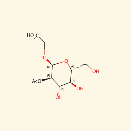 CC(=O)O[C@H]1[C@@H](OCC(=O)O)O[C@H](CO)[C@@H](O)[C@@H]1O